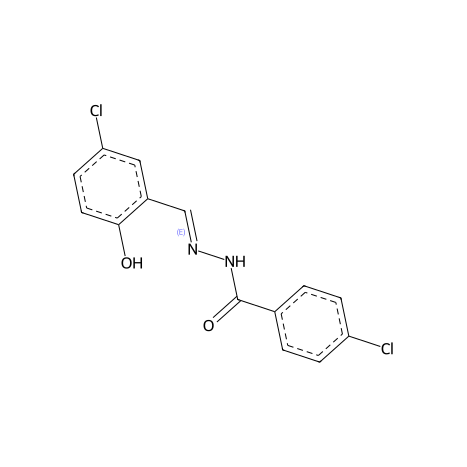 O=C(N/N=C/c1cc(Cl)ccc1O)c1ccc(Cl)cc1